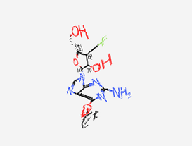 CCOc1nc(N)nc2c1ncn2[C@@H]1O[C@H](CO)[C@@H](CF)[C@H]1O